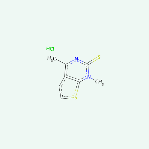 Cc1nc(=S)n(C)c2sccc12.Cl